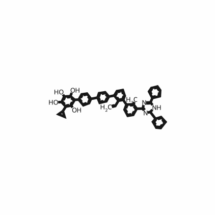 C=Cc1c(-c2ccc(-c3ccc(-c4c(O)c(O)c(O)c(C5CC5)c4O)cc3)cc2)cccc1-c1cccc(C2=NC(c3ccccc3)NC(c3ccccc3)=N2)c1C